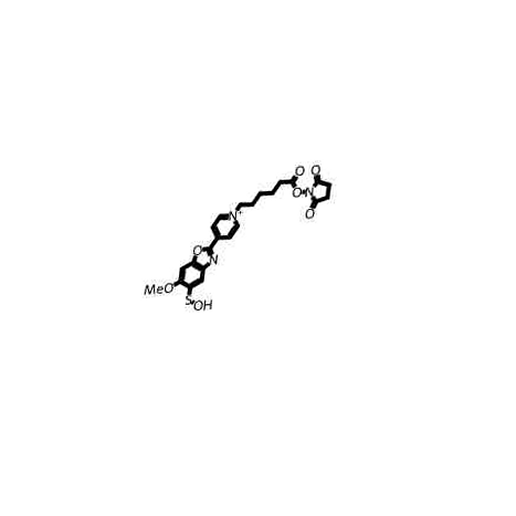 COc1cc2oc(-c3cc[n+](CCCCCC(=O)ON4C(=O)CCC4=O)cc3)nc2cc1SO